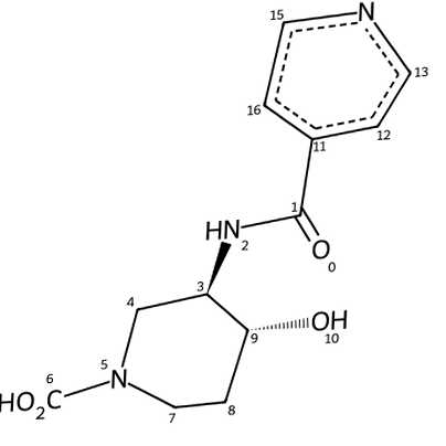 O=C(N[C@@H]1CN(C(=O)O)CC[C@H]1O)c1ccncc1